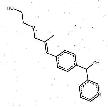 C/C(=C\c1ccc(C(O)c2cccnc2)cc1)COCCO